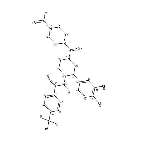 CC(=O)N1CCC(C(=O)N2CCC(N(C)C(=O)c3ccc(C(C)(C)C)cc3)C(c3ccc(Cl)c(Cl)c3)C2)CC1